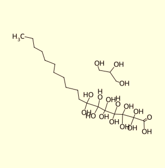 CCCCCCCCCCCC(O)(O)C(O)(O)C(O)(O)C(O)(O)C(O)(O)C(O)(O)C(=O)O.OCC(O)CO